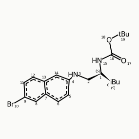 CC[C@H](C)[C@@H](CNc1ccc2cc(Br)ccc2c1)NC(=O)OC(C)(C)C